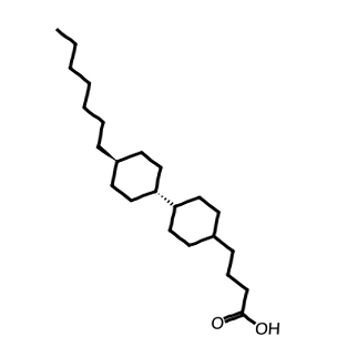 CCCCCCC[C@H]1CC[C@H](C2CCC(CCCC(=O)O)CC2)CC1